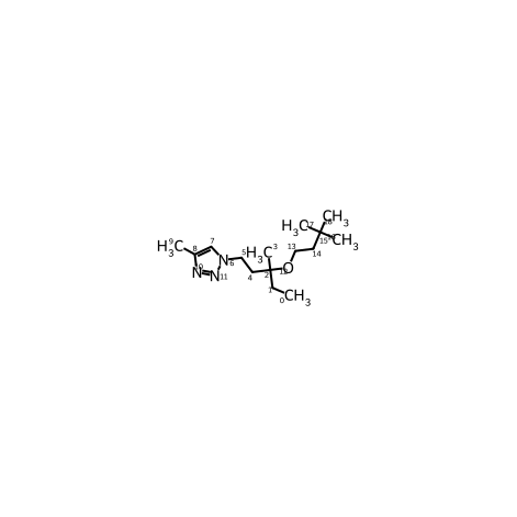 CCC(C)(CCn1cc(C)nn1)OCCC(C)(C)C